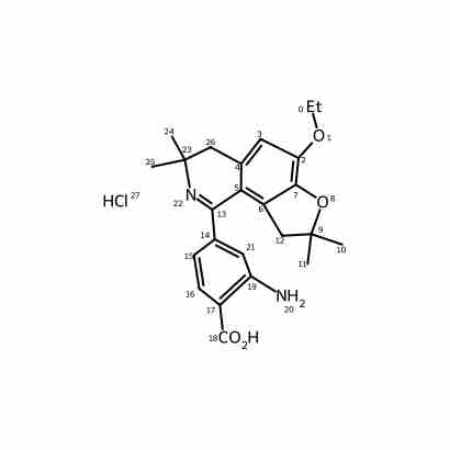 CCOc1cc2c(c3c1OC(C)(C)C3)C(c1ccc(C(=O)O)c(N)c1)=NC(C)(C)C2.Cl